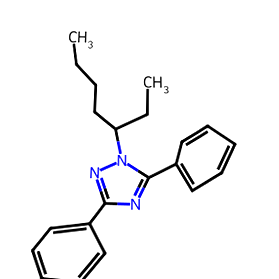 CCCCC(CC)n1nc(-c2ccccc2)nc1-c1ccccc1